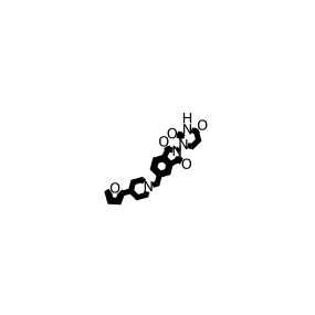 O=C1CCN(N2C(=O)c3ccc(CN4CCC(c5ccco5)CC4)cc3C2=O)C(=O)N1